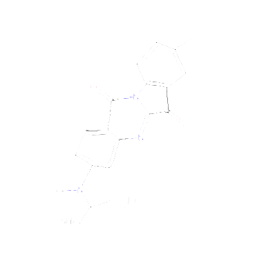 CCCCCCC(C(=O)OCC)N(C)c1ccc2c(=O)n3c(nc2c1)C(=O)c1cc(Cl)ccc1-3